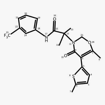 CC1=C(c2ccc(C)s2)C(=O)N(C(C)(C)C(=O)Nc2cccc(C(F)(F)F)c2)CO1